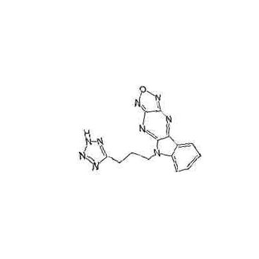 c1ccc2c(c1)c1nc3nonc3nc1n2CCCc1nn[nH]n1